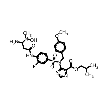 COc1ccc(CN(c2scnc2C(=O)OCC(C)C)S(=O)(=O)c2ccc(NC(=O)CC(N)N(C)O)c(F)c2)cc1